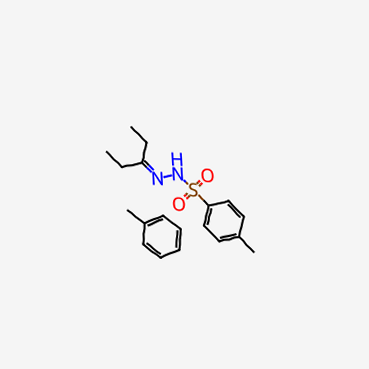 CCC(CC)=NNS(=O)(=O)c1ccc(C)cc1.Cc1ccccc1